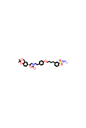 CC1(C)OCc2cc([C@@H]3CN(CCc4ccc(OCCCCc5cccc(S(N)(=O)=O)c5)cc4)C(=O)O3)ccc2O1